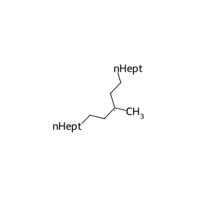 CCCCCCCCC[C](C)CCCCCCCCC